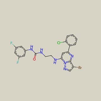 O=C(NCCNc1cc(-c2ccccc2Cl)nc2c(Br)cnn12)Nc1cc(F)cc(F)c1